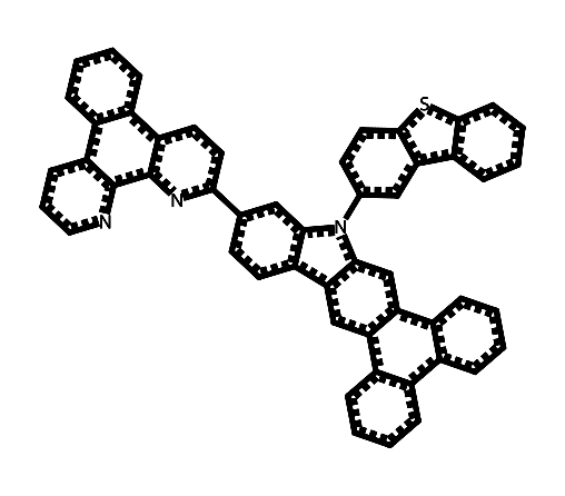 c1ccc2c(c1)sc1ccc(-n3c4cc(-c5ccc6c7ccccc7c7cccnc7c6n5)ccc4c4cc5c6ccccc6c6ccccc6c5cc43)cc12